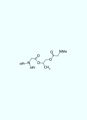 CCCN(CCC)CC(=O)OC(C)COC(=O)CNC